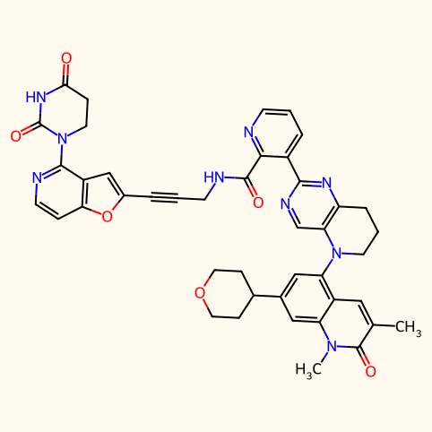 Cc1cc2c(N3CCCc4nc(-c5cccnc5C(=O)NCC#Cc5cc6c(N7CCC(=O)NC7=O)nccc6o5)ncc43)cc(C3CCOCC3)cc2n(C)c1=O